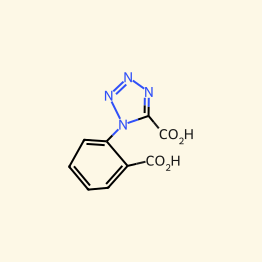 O=C(O)c1ccccc1-n1nnnc1C(=O)O